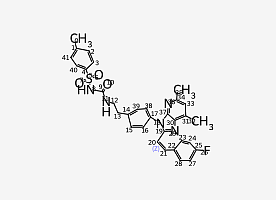 Cc1ccc(S(=O)(=O)NC(=O)NCCc2ccc(-n3c(/C=C\c4ccc(F)cc4)nc4c(C)cc(C)nc43)cc2)cc1